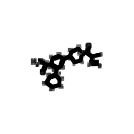 CC(N)C(=O)N1CCC(c2ccc(C(N)=O)c(C3=CCCCC3)c2)CC1